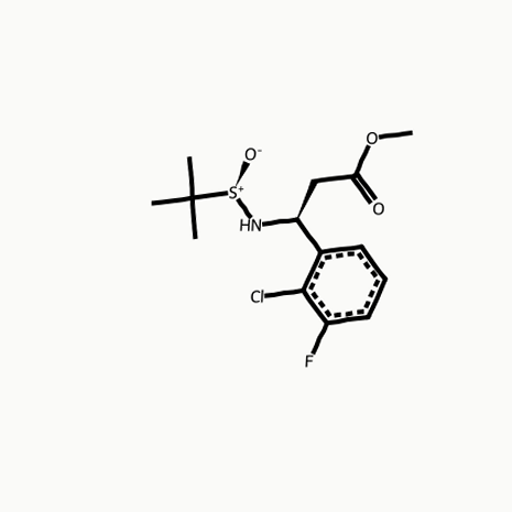 COC(=O)C[C@H](N[S@+]([O-])C(C)(C)C)c1cccc(F)c1Cl